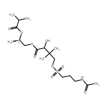 CC(=O)NCCCS(=O)(=O)OCC(C)(C)C(O)C(=O)OC[C@@H](C)OC(=O)C(C)C